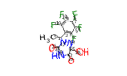 CC(c1c(F)c(F)c(F)c(F)c1F)n1nc(O)c(=O)[nH]c1=O